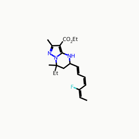 C\C=C(F)/C=C\C=C\C1CC(C)(CC)n2nc(C)c(C(=O)OCC)c2N1